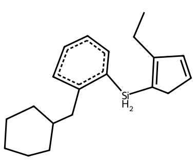 CCC1=C([SiH2]c2ccccc2CC2CCCCC2)CC=C1